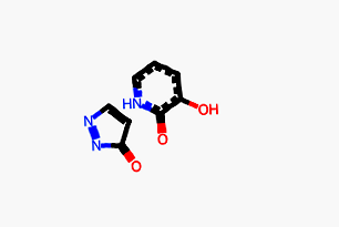 O=C1C=CN=N1.O=c1[nH]cccc1O